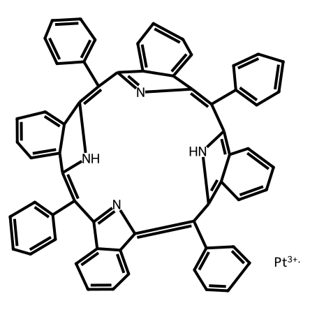 [Pt+3].c1ccc(-c2c3nc(c(-c4ccccc4)c4[nH]c(c(-c5ccccc5)c5nc(c(-c6ccccc6)c6[nH]c2c2ccccc62)-c2ccccc2-5)c2ccccc42)-c2ccccc2-3)cc1